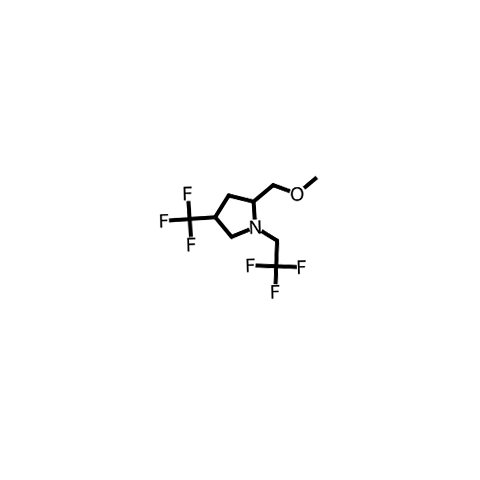 COCC1CC(C(F)(F)F)CN1CC(F)(F)F